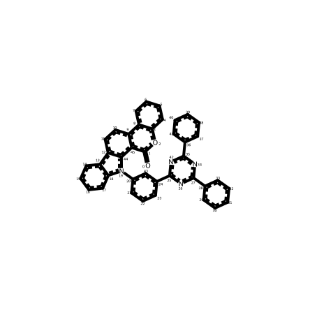 O=c1oc2ccccc2c2ccc3c4ccccc4n(-c4cccc(-c5nc(-c6ccccc6)nc(-c6ccccc6)n5)c4)c3c12